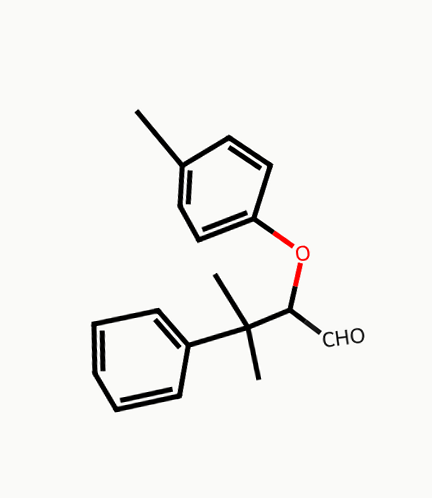 Cc1ccc(OC(C=O)C(C)(C)c2ccccc2)cc1